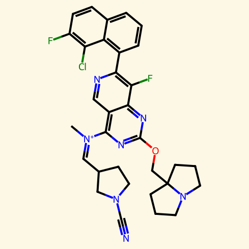 C/[N+](=C/C1CCN(C#N)C1)c1nc(OCC23CCCN2CCC3)nc2c(F)c(-c3cccc4ccc(F)c(Cl)c34)ncc12